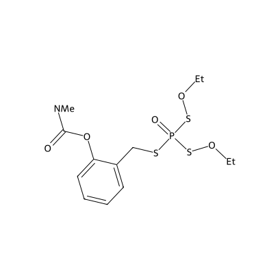 CCOSP(=O)(SCc1ccccc1OC(=O)NC)SOCC